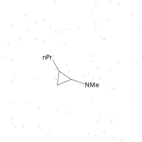 CCCC1CC1NC